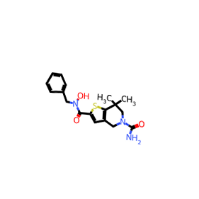 CC1(C)CN(C(N)=O)Cc2cc(C(=O)N(O)Cc3ccccc3)sc21